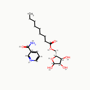 CCCCCCCCC(=O)OC[C@H]1OC(O)[C@H](O)[C@@H]1O.NC(=O)c1cccnc1